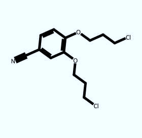 N#Cc1ccc(OCCCCl)c(OCCCCl)c1